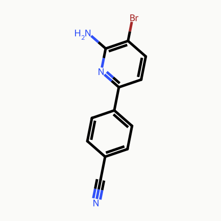 N#Cc1ccc(-c2ccc(Br)c(N)n2)cc1